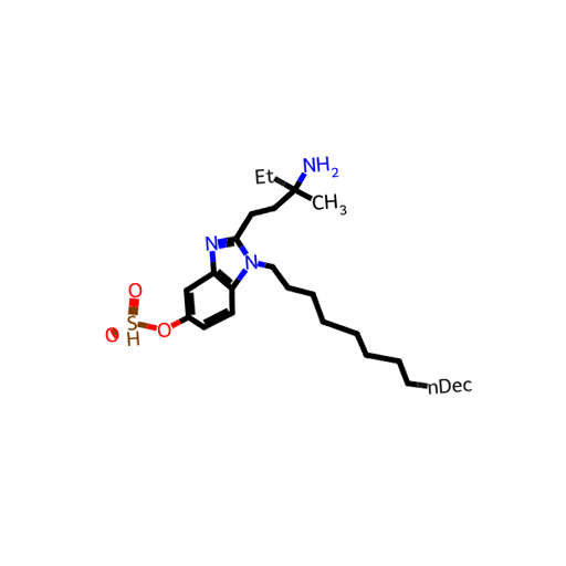 CCCCCCCCCCCCCCCCCCn1c(CCC(C)(N)CC)nc2cc(O[SH](=O)=O)ccc21